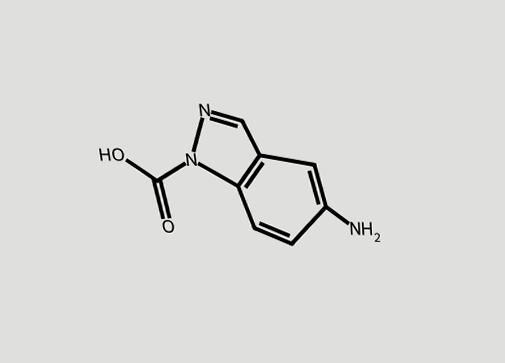 Nc1ccc2c(cnn2C(=O)O)c1